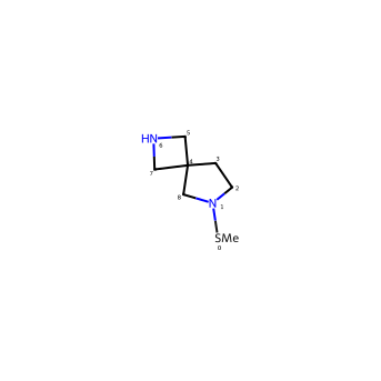 CSN1CCC2(CNC2)C1